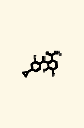 NC(=O)c1ccc(F)c(F)c1Nc1ccc(C2CC2)cc1F